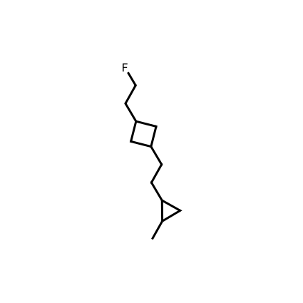 CC1CC1CCC1CC(CCF)C1